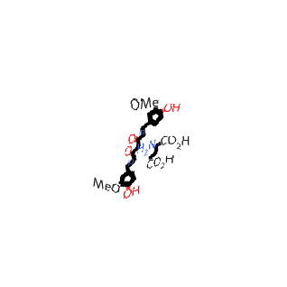 COc1cc(/C=C/C(=O)CC(=O)/C=C/c2ccc(O)c(OC)c2)ccc1O.NC(CCC(=O)O)C(=O)O